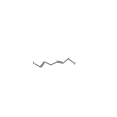 F[CH]C=CCC=CF